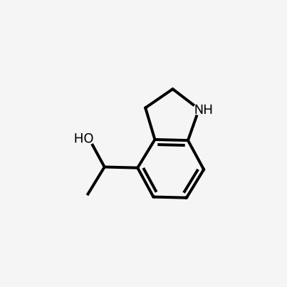 CC(O)c1cccc2c1CCN2